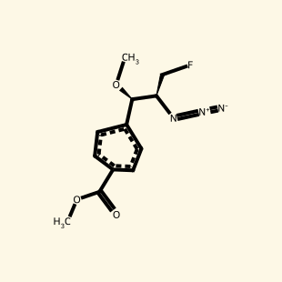 COC(=O)c1ccc([C@@H](OC)[C@@H](CF)N=[N+]=[N-])cc1